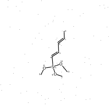 CC=CC=C[Si](OC)(OC)OC